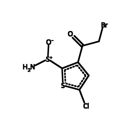 N[S+]([O-])c1sc(Cl)cc1C(=O)CBr